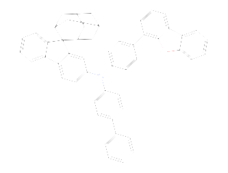 c1ccc(-c2ccc(N(c3ccc(-c4cccc5c4oc4ccccc45)cc3)c3ccc4c(c3)C3(c5ccccc5-4)C4CC5CC(C4)CC3C5)cc2)cc1